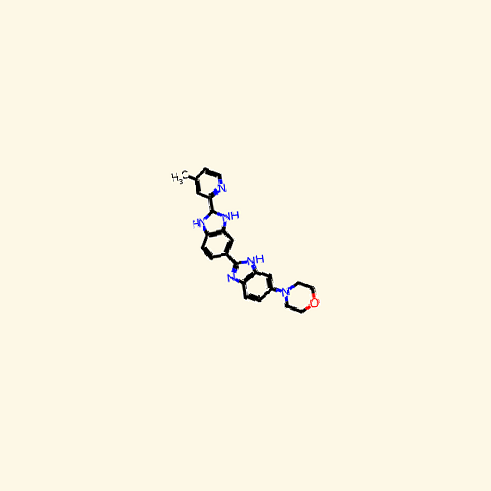 Cc1ccnc(C2Nc3ccc(-c4nc5ccc(N6CCOCC6)cc5[nH]4)cc3N2)c1